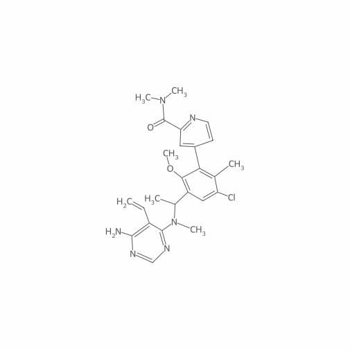 C=Cc1c(N)ncnc1N(C)C(C)c1cc(Cl)c(C)c(-c2ccnc(C(=O)N(C)C)c2)c1OC